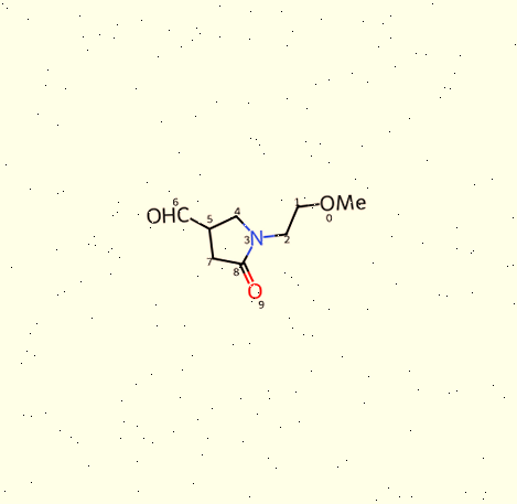 COCCN1CC(C=O)CC1=O